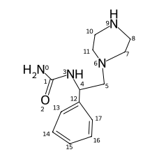 NC(=O)NC(CN1CCNCC1)c1ccccc1